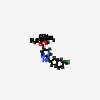 CC1(C)OB(c2cnc(NC3Cc4ccc(Cl)cc4C3)nc2)OC1(C)C